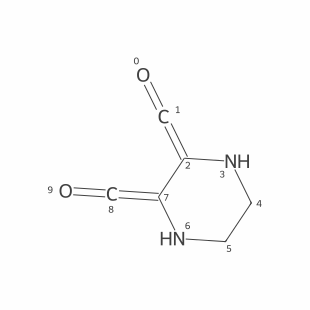 O=C=C1NCCNC1=C=O